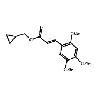 COc1cc(OC)c(OC)cc1/C=C/C(=O)OCC1CC1